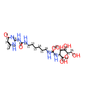 Cc1cc(=O)nc(NC(=O)NCCCCCCNC(=O)N[C@H]2C(O)O[C@H](CO)C(O)[C@@H]2O)[nH]1